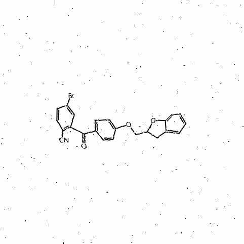 N#Cc1ccc(Br)cc1C(=O)c1ccc(OCC2Cc3ccccc3O2)cc1